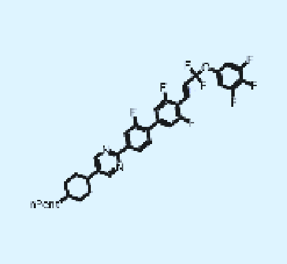 CCCCCC1CCC(c2cnc(-c3ccc(-c4cc(F)c(/C=C/C(F)(F)Oc5cc(F)c(F)c(F)c5)c(F)c4)c(F)c3)nc2)CC1